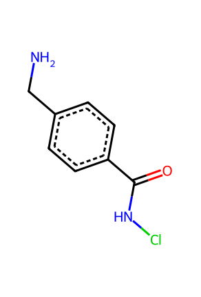 NCc1ccc(C(=O)NCl)cc1